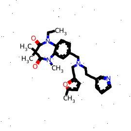 CCN1C(=O)C(C)(C)C(=O)N(C)c2cc(CN(CCc3cccnc3)Cc3ccc(C)o3)ccc21